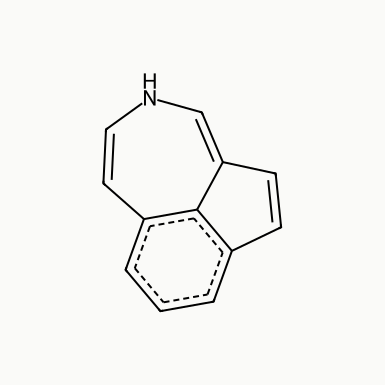 C1=Cc2cccc3c2C(=CN1)C=C3